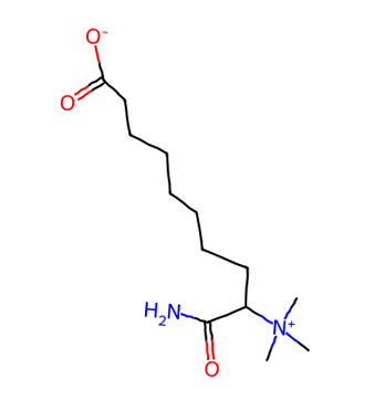 C[N+](C)(C)C(CCCCCCCC(=O)[O-])C(N)=O